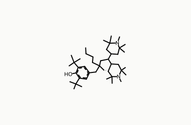 [CH2]C(CCCC)(Cc1cc(C(C)(C)C)c(O)c(C(C)(C)C)c1)CC(C1CC(C)(C)N(C)C(C)(C)C1)C1CC(C)(C)N(C)C(C)(C)C1